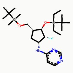 CC[Si](CC)(O[C@@H]1[C@@H](CO[Si](C)(C)C(C)(C)C)C[C@@H](Nc2[c]cncn2)[C@H]1F)C(C)(C)C